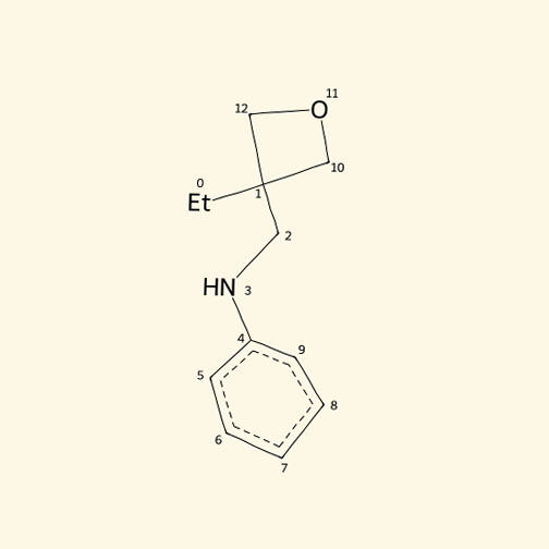 CCC1(CNc2ccccc2)COC1